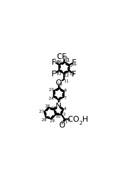 O=C(O)C(=O)c1cn(-c2ccc(OCc3c(F)c(F)c(C(F)(F)F)c(F)c3F)cc2)c2ccccc12